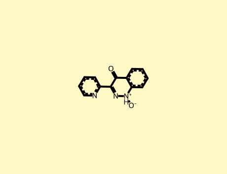 O=C1C(c2ccccn2)=N[NH+]([O-])c2ccccc21